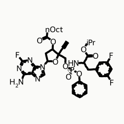 C#CC1(CO[P@@](=O)(NC(Cc2cc(F)cc(F)c2)C(=O)OC(C)C)Oc2ccccc2)OC(n2cnc3c(N)nc(F)nc32)CC1OC(=O)CCCCCCCC